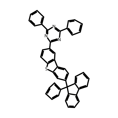 c1ccc(-c2nc(-c3ccccc3)nc(-c3ccc4sc5cc(C6(c7ccccc7)c7ccccc7-c7ccccc76)ccc5c4c3)n2)cc1